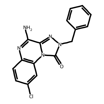 Nc1nc2ccc(Cl)cc2n2c(=O)n(Cc3ccccc3)nc12